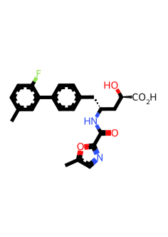 Cc1ccc(F)c(-c2ccc(C[C@H](C[C@@H](O)C(=O)O)NC(=O)c3ncc(C)o3)cc2)c1